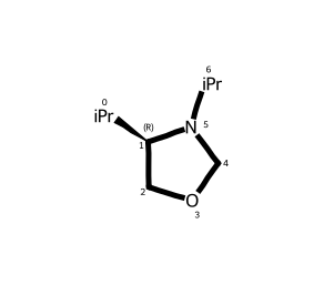 CC(C)[C@@H]1COCN1C(C)C